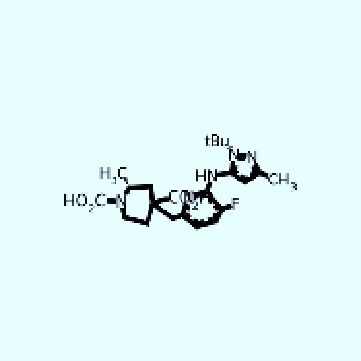 Cc1cc(Nc2nc(CC3(C(=O)O)CCN(C(=O)O)[C@H](C)C3)ccc2F)n(C(C)(C)C)n1